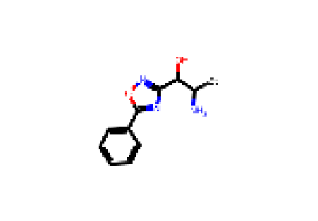 CCC(N)C(O)c1noc(-c2ccccc2)n1